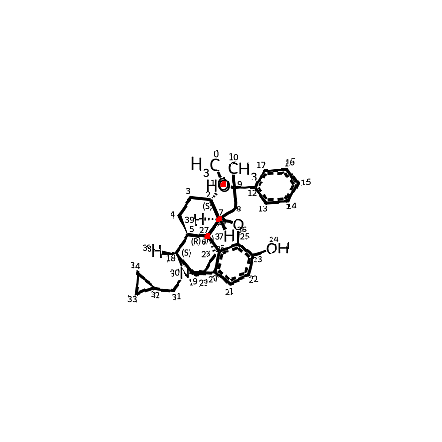 CO[C@@]12CC[C@]3(C[C@H]1CC(C)(O)c1ccccc1)[C@@H]1Cc4ccc(O)c5c4[C@]3(CCN1CC1CC1)[C@@H]2O5